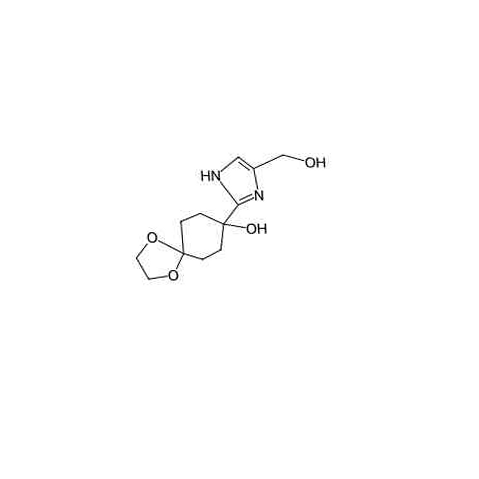 OCc1c[nH]c(C2(O)CCC3(CC2)OCCO3)n1